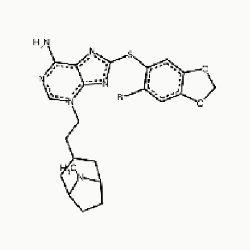 CN1C2CCC1CC(CCn1cnc(N)c3nc(Sc4cc5c(cc4Br)OCO5)nc1-3)C2